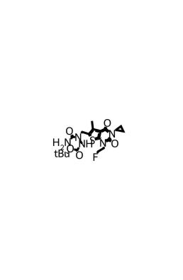 Cc1c(CN(NC(=O)OC(C)(C)C)C(N)=O)sc2c1c(=O)n(C1CC1)c(=O)n2CCF